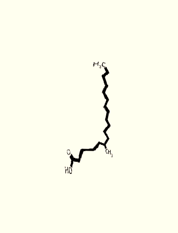 CCCCCCCCCCCCC(C)CCCCC(=O)O